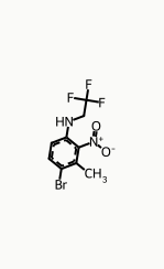 Cc1c(Br)ccc(NCC(F)(F)F)c1[N+](=O)[O-]